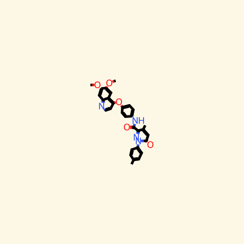 COc1cc2nccc(Oc3ccc(NC(=O)c4nn(-c5ccc(C)cc5)c(=O)cc4C)cc3)c2cc1OC